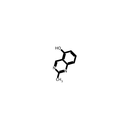 Cc1ncc2c(O)cccc2n1